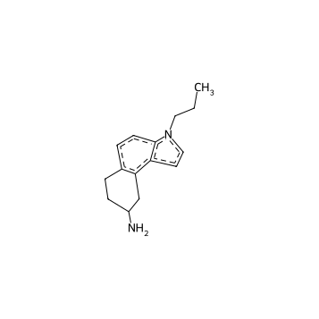 CCCn1ccc2c3c(ccc21)CCC(N)C3